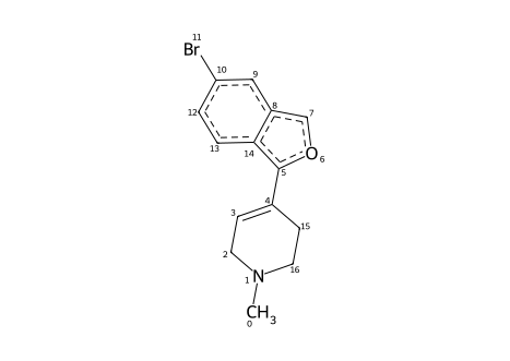 CN1CC=C(c2occ3cc(Br)ccc23)CC1